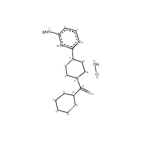 COc1ccnc(N2CCN(C(=O)C3CCCCC3)CC2)n1.OCl